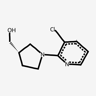 OC[C@H]1CCN(c2ncc[c]c2Cl)C1